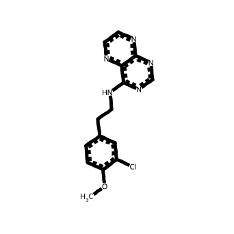 COc1ccc(CCNc2ncnc3nccnc23)cc1Cl